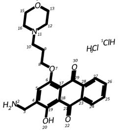 Cl.Cl.NCc1cc(OCCCN2CCOCC2)c2c(c1O)C(=O)c1ccccc1C2=O